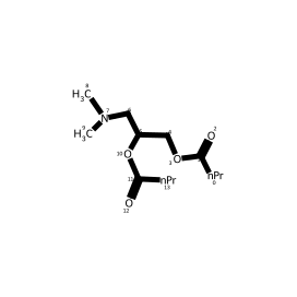 CCCC(=O)OCC(CN(C)C)OC(=O)CCC